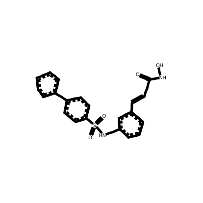 O=C(C=Cc1cccc(NS(=O)(=O)c2ccc(-c3ccccc3)cc2)c1)NO